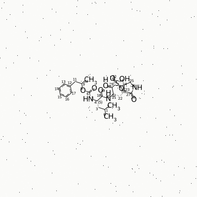 CC(C)C[C@H](NC(=O)OC(C)Cc1ccccc1)C(=O)N[C@@H](C[C@@H]1CCNC1=O)C(O)S(=O)(=O)O